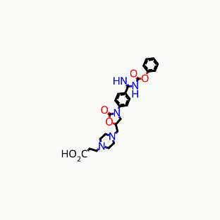 N=C(NC(=O)Oc1ccccc1)c1ccc(N2CC(CN3CCN(CCC(=O)O)CC3)OC2=O)cc1